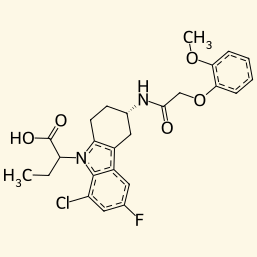 CCC(C(=O)O)n1c2c(c3cc(F)cc(Cl)c31)C[C@@H](NC(=O)COc1ccccc1OC)CC2